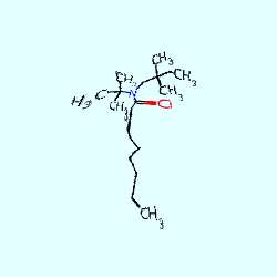 CCCCCCC(=O)N(CC(C)(C)C)C(C)(C)C